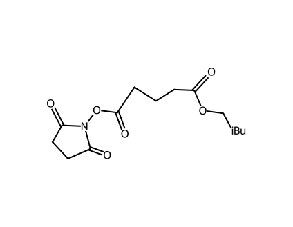 CCC(C)COC(=O)CCCC(=O)ON1C(=O)CCC1=O